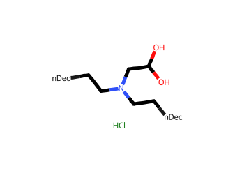 CCCCCCCCCCCCN(CCCCCCCCCCCC)CC(O)O.Cl